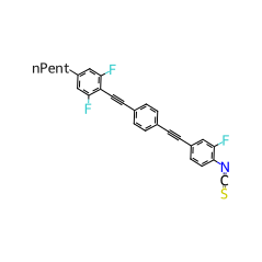 CCCCCc1cc(F)c(C#Cc2ccc(C#Cc3ccc(N=C=S)c(F)c3)cc2)c(F)c1